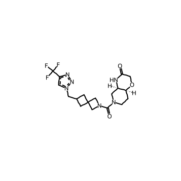 O=C1CO[C@H]2CCN(C(=O)N3CC4(CC(Cn5cc(C(F)(F)F)nn5)C4)C3)C[C@H]2N1